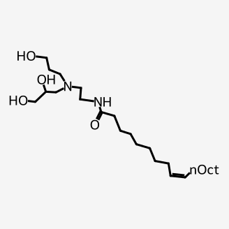 CCCCCCCC/C=C\CCCCCCCC(=O)NCCN(CCCO)CC(O)CO